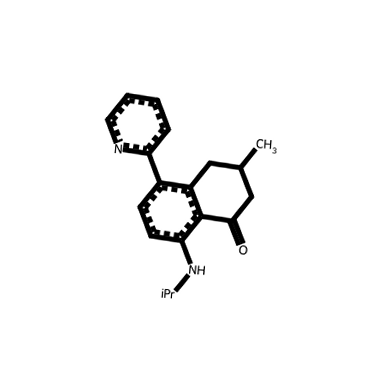 CC1CC(=O)c2c(NC(C)C)ccc(-c3ccccn3)c2C1